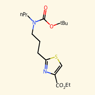 CCCN(CCCc1nc(C(=O)OCC)cs1)C(=O)OC(C)(C)C